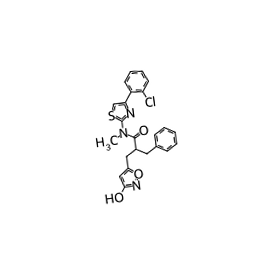 CN(C(=O)C(Cc1ccccc1)Cc1cc(O)no1)c1nc(-c2ccccc2Cl)cs1